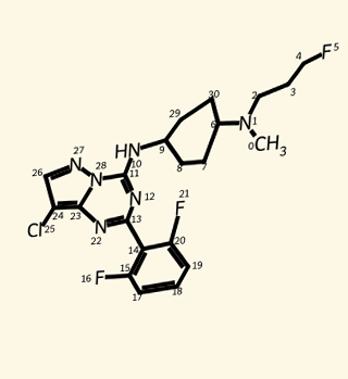 CN(CCCF)C1CCC(Nc2nc(-c3c(F)cccc3F)nc3c(Cl)cnn23)CC1